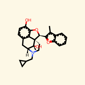 Cc1c([C@@H]2Oc3c(O)ccc4c3[C@@]23CCN(CC2CC2)[C@H](C4)[C@@]3(C)O)oc2ccccc12